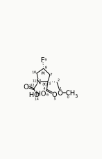 COC[C@@]1(C(=O)O)C[C@@H](F)CN1C(=O)O